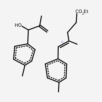 C=C(C)C(O)c1ccc(C)cc1.CCOC(=O)CC/C(C)=C/c1ccc(C)cc1